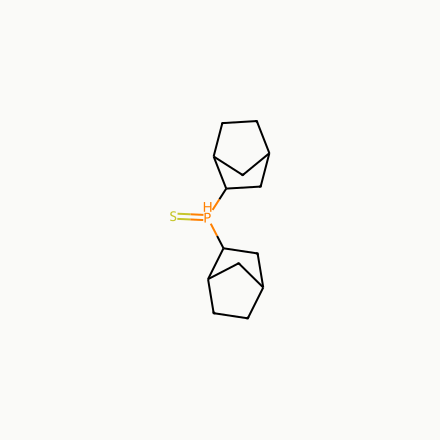 S=[PH](C1CC2CCC1C2)C1CC2CCC1C2